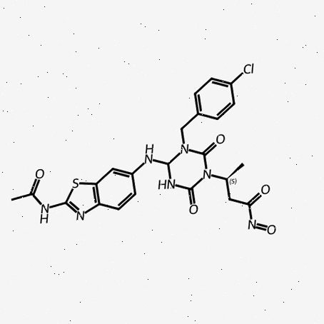 CC(=O)Nc1nc2ccc(NC3NC(=O)N([C@@H](C)CC(=O)N=O)C(=O)N3Cc3ccc(Cl)cc3)cc2s1